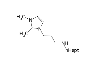 CCCCCCCNCCCN1C=CN(C)C1C